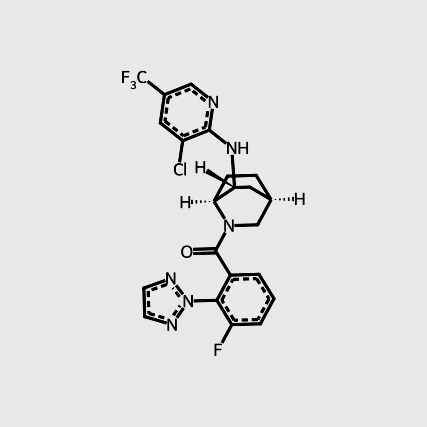 O=C(c1cccc(F)c1-n1nccn1)N1C[C@@H]2CC[C@H]1[C@H](Nc1ncc(C(F)(F)F)cc1Cl)C2